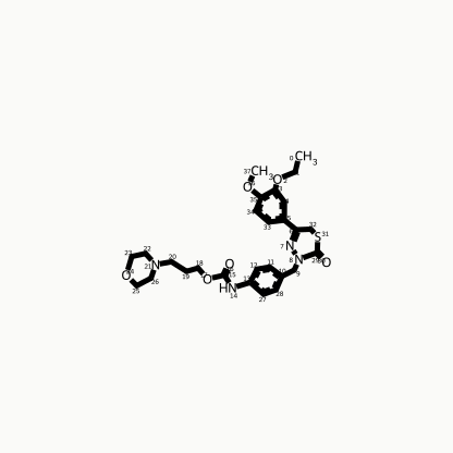 CCOc1cc(C2=NN(Cc3ccc(NC(=O)OCCCN4CCOCC4)cc3)C(=O)SC2)ccc1OC